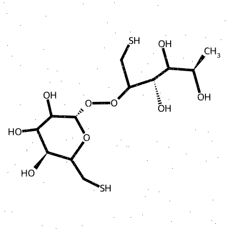 C[C@@H](O)C(O)[C@H](O)C(CS)OO[C@@H]1OC(CS)[C@@H](O)C(O)C1O